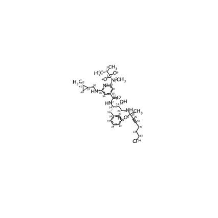 CC(C)S(=O)(=O)N(C)c1cc(C(=O)N[C@@H](Cc2ccccc2)[C@H](O)CNC(C)(C)C#CCCCCl)cc(NC[C@H]2C[C@@H]2C)n1